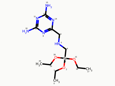 CCO[Si](CNCc1nc(N)nc(N)n1)(OCC)OCC